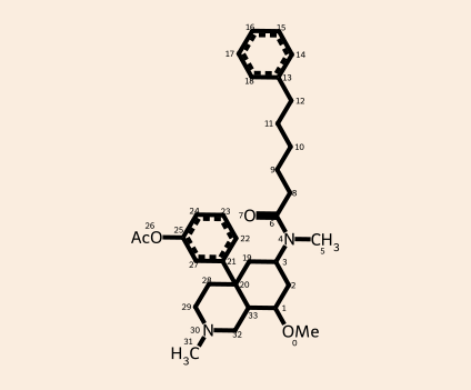 COC1CC(N(C)C(=O)CCCCCc2ccccc2)CC2(c3cccc(OC(C)=O)c3)CCN(C)CC12